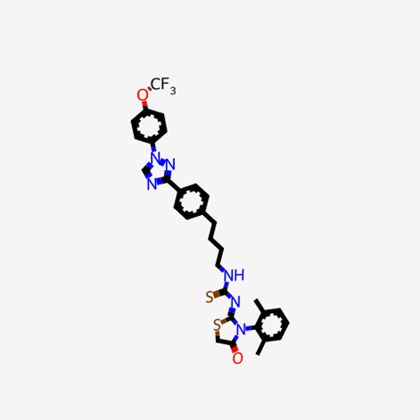 Cc1cccc(C)c1N1C(=O)CS/C1=N\C(=S)NCCCCc1ccc(-c2ncn(-c3ccc(OC(F)(F)F)cc3)n2)cc1